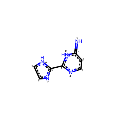 N=c1ccnc(-c2ncc[nH]2)[nH]1